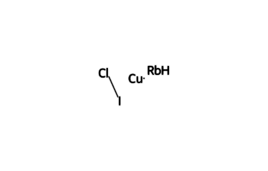 ClI.[Cu].[RbH]